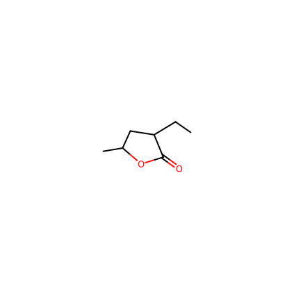 CCC1CC(C)OC1=O